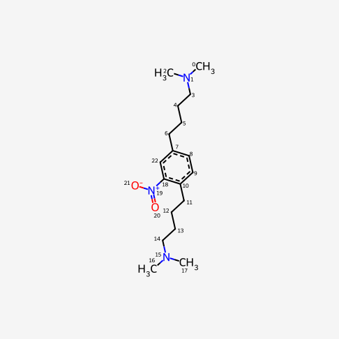 CN(C)CCCCc1ccc(CCCCN(C)C)c([N+](=O)[O-])c1